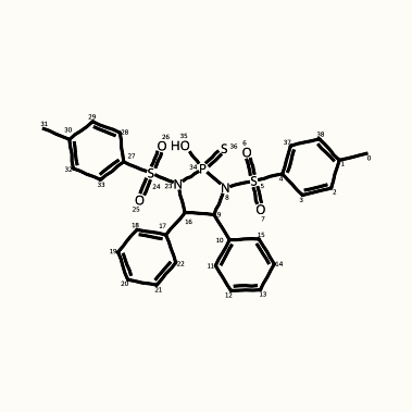 Cc1ccc(S(=O)(=O)N2C(c3ccccc3)C(c3ccccc3)N(S(=O)(=O)c3ccc(C)cc3)P2(O)=S)cc1